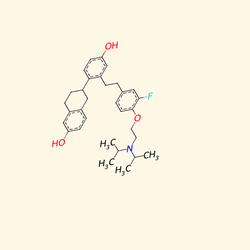 CC(C)N(CCOc1ccc(CCc2cc(O)ccc2C2CCc3cc(O)ccc3C2)cc1F)C(C)C